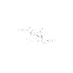 CC(=O)SCC(C(=O)NC(Cc1ccc(O)cc1)C(=O)O)C(C)c1ccc(O)cc1